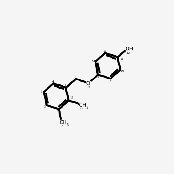 Cc1cccc(COc2ccc(O)cc2)c1C